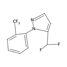 FC(F)c1[c]cnn1-c1ccccc1C(F)(F)F